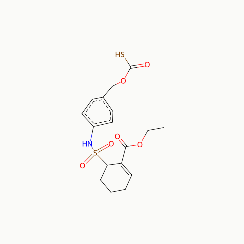 CCOC(=O)C1=CCCCC1S(=O)(=O)Nc1ccc(COC(=O)S)cc1